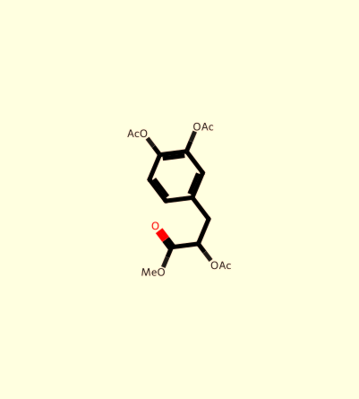 COC(=O)C(Cc1ccc(OC(C)=O)c(OC(C)=O)c1)OC(C)=O